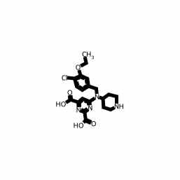 CCOc1cc(CN(c2cc(C(=O)O)nc(C(=O)O)n2)C2CCNCC2)ccc1Cl